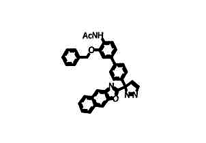 CC(=O)Nc1ccc(-c2ccc(C3(c4nc5cc6ccccc6cc5o4)C=CN=N3)cc2)cc1OCc1ccccc1